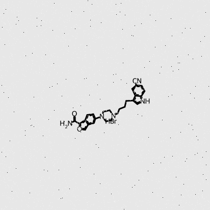 Br.N#Cc1ccc2[nH]cc(CCCCN3CCN(c4ccc5c(C(N)=O)occ5c4)CC3)c2c1